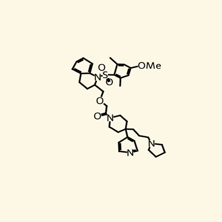 COc1cc(C)c(S(=O)(=O)N2c3ccccc3CCC2COCC(=O)N2CCC(CCCN3CCCC3)(c3ccncc3)CC2)c(C)c1